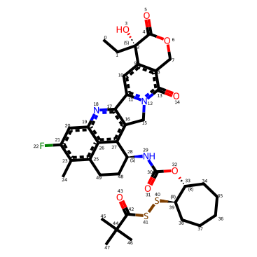 CC[C@@]1(O)C(=O)OCc2c1cc1n(c2=O)Cc2c-1nc1cc(F)c(C)c3c1c2[C@@H](NC(=O)O[C@@H]1CCCCC[C@H]1SSC(=O)C(C)(C)C)CC3